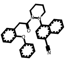 N#Cc1ccc(N2CCCCN2C(=O)Cc2ccccc2Oc2ccccc2)c2ccccc12